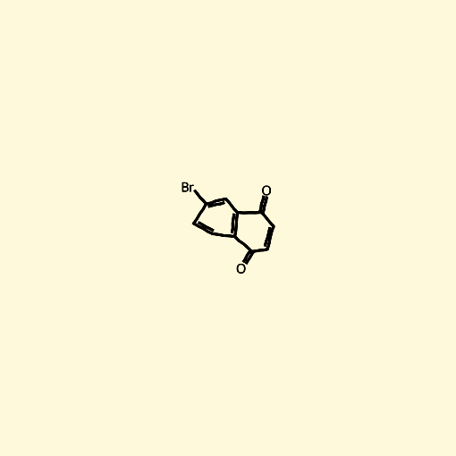 O=C1C=CC(=O)c2cc(Br)ccc21